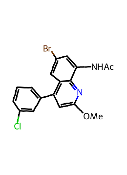 COc1cc(-c2cccc(Cl)c2)c2cc(Br)cc(NC(C)=O)c2n1